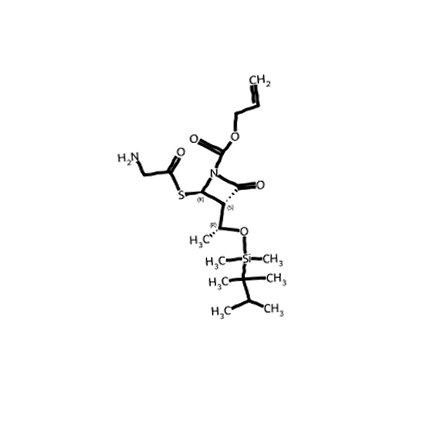 C=CCOC(=O)N1C(=O)[C@H]([C@@H](C)O[Si](C)(C)C(C)(C)C(C)C)[C@H]1SC(=O)CN